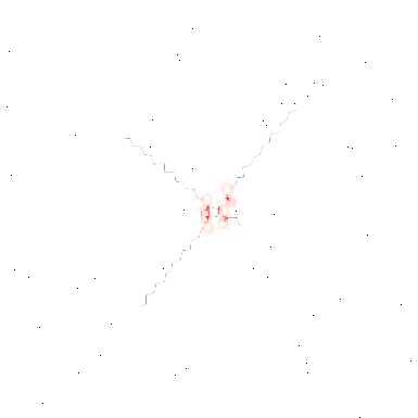 CCCCCCCCCCCCCCCOC(=O)CC(CC(=O)OCCCCCCCCCCCCCCC)(OC(=O)CCC)C(=O)OCCCCCCCCCCCCCCC